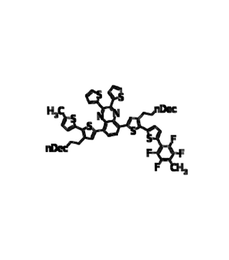 CCCCCCCCCCCCc1cc(-c2ccc(-c3cc(CCCCCCCCCCCC)c(-c4ccc(-c5c(F)c(F)c(C)c(F)c5F)s4)s3)c3nc(-c4cccs4)c(-c4cccs4)nc23)sc1-c1ccc(C)s1